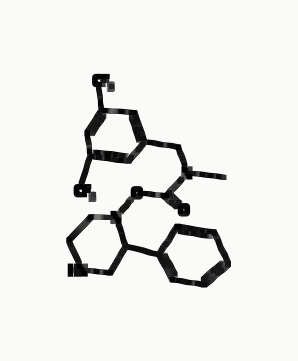 CN(Cc1cc(C(F)(F)F)cc(C(F)(F)F)c1)C(=O)ON1CCNCC1c1ccccc1